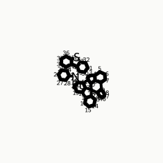 CCc1ccc2cccc3c2c1C1(c2ccccc2-c2ccc(N(c4ccccc4)c4cccc5sc6ccccc6c45)cc21)c1ccccc1-3